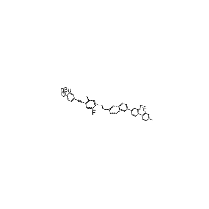 CCCCOc1ccc(C#Cc2cc(F)c(CCc3ccc4cc(-c5ccc(-c6ccc(C)cc6F)c(F)c5)ccc4c3)cc2C)cc1